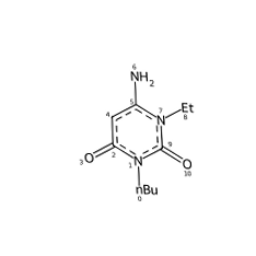 CCCCn1c(=O)cc(N)n(CC)c1=O